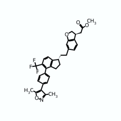 COC(=O)C[C@@H]1COc2cc(CC[C@@H]3CCc4c3ccc(C(F)(F)F)c4-c3ccc(-c4c(C)noc4C)cc3)ccc21